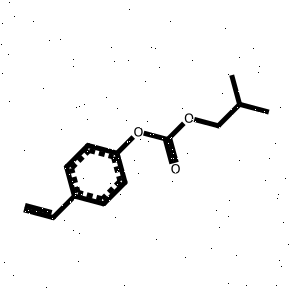 C=Cc1ccc(OC(=O)OCC(C)C)cc1